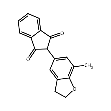 Cc1cc(C2C(=O)c3ccccc3C2=O)cc2c1OCC2